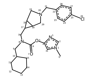 Cn1cnc(OC(=O)N(CC2CCCCC2)CC2C3CN(Cc4ccc(Cl)cc4)CC32)c1